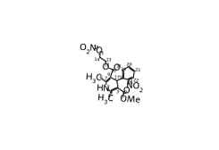 COC(=O)C1=C(C)NC(C)=C(C(=O)OCCO[N+](=O)[O-])C1c1ccccc1[N+](=O)[O-]